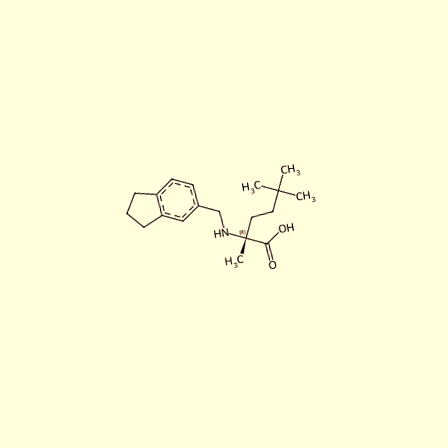 CC(C)(C)CC[C@@](C)(NCc1ccc2c(c1)CCC2)C(=O)O